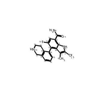 Cc1c(C(F)(F)F)[nH]c2c(C(N)=O)cc(F)c(-c3cccc4c3CCNC4)c12